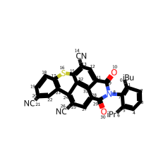 CCC(C)c1cccc(C(C)C)c1-n1c(=O)c2cc(C#N)c3sc4ccc(C#N)cc4c4c(C#N)cc(c1=O)c2c34